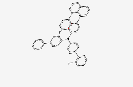 Fc1ccc(-c2cccc3cccc(-c4ccc(N(c5ccc(-c6ccccc6)cc5)c5ccc(-c6ccccc6F)cc5)cc4)c23)cc1